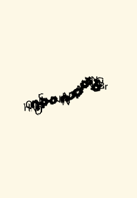 CC1(C)c2ccc(N3CCN(Cc4ncc(N5CCC(c6cc(F)c(C7CCC(=O)NC7=O)c(F)c6)CC5)cn4)CC3)cc2-n2c1nc(=O)c1c(Br)cccc12